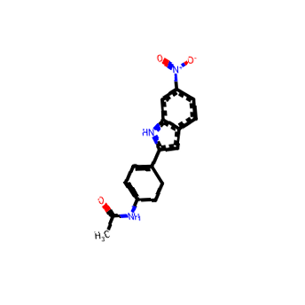 CC(=O)NC1=CC=C(c2cc3ccc([N+](=O)[O-])cc3[nH]2)CC1